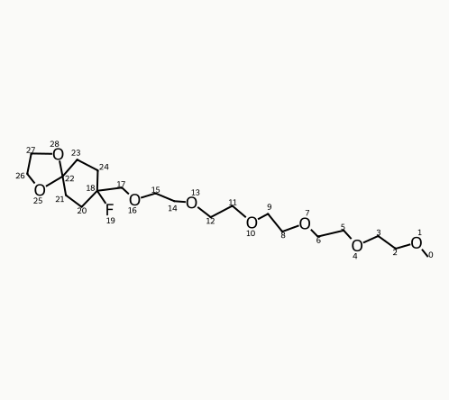 COCCOCCOCCOCCOCCOCC1(F)CCC2(CC1)OCCO2